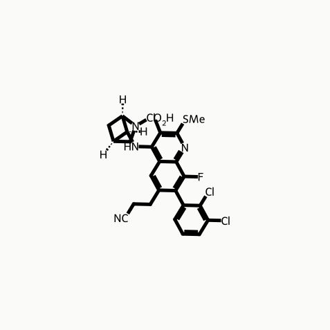 CSc1nc2c(F)c(-c3cccc(Cl)c3Cl)c(CCC#N)cc2c(N[C@H]2[C@@H]3C[C@H]2N(C(=O)O)C3)c1I